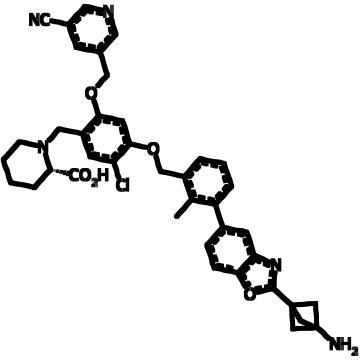 Cc1c(COc2cc(OCc3cncc(C#N)c3)c(CN3CCCC[C@H]3C(=O)O)cc2Cl)cccc1-c1ccc2oc(C34CC(N)(C3)C4)nc2c1